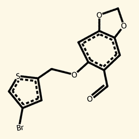 O=Cc1cc2c(cc1OCc1cc(Br)cs1)OCO2